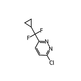 FC(F)(c1ccc(Cl)nn1)C1CC1